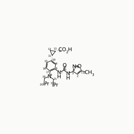 Cc1cc(NC(=O)Nc2cc([C@@H]3C[C@@H]3C(=O)O)ccc2N(CC(C)C)CC(C)C)no1